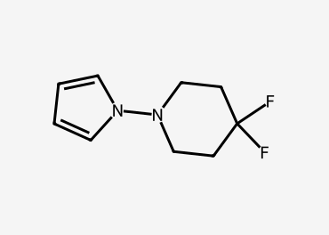 FC1(F)CCN(n2cccc2)CC1